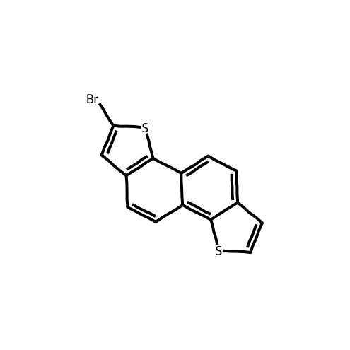 Brc1cc2ccc3c(ccc4ccsc43)c2s1